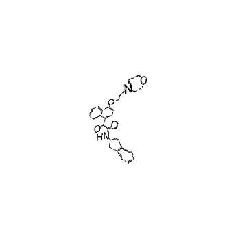 O=C(NC1Cc2ccccc2C1)C(=O)c1ccc(OCCN2CCOCC2)c2ccccc12